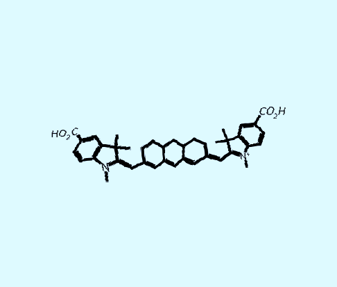 CN1/C(=C/C2=CC3=CC4=C/C(=C/C5=[N+](C)c6ccc(C(=O)O)cc6C5(C)C)CCC4CC3CC2)C(C)(C)c2cc(C(=O)O)ccc21